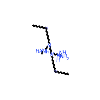 CCCCCCCC/C=C\CCCCCCCCN(CCCCN(CCCCCCCC/C=C\CCCCCCCC)CCCNC(=N)N)CCCNC(C)=N